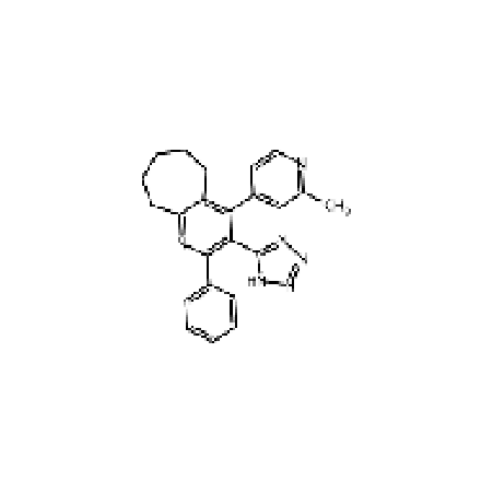 Cc1cc(-c2c3c(nc(-c4ccccc4)c2-c2nnn[nH]2)CCCCC3)ccn1